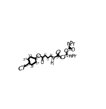 CCCC(=O)O[C@H](CCC)OC(=O)NCCCC(=O)Oc1ccc(Cl)cc1